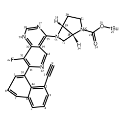 C#Cc1cccc2cccc(-c3ncc4c(N5C[C@@H]6[C@H]5CCN6C(=O)OC(C)(C)C)ncnc4c3F)c12